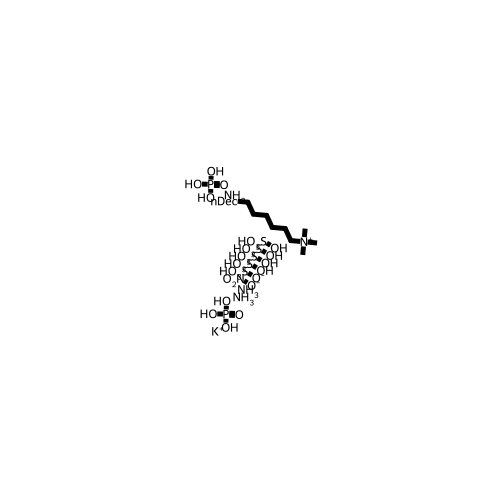 CCCCCCCCCCCCCCCC[N+](C)(C)C.N.N.N.O=P(O)(O)O.O=P(O)(O)O.O=S(=O)(O)O.O=S(=O)(O)O.O=S(=O)(O)O.O=S(=O)(O)O.O=S(=O)([O-])O.O=[N+]([O-])[O-].[K+]